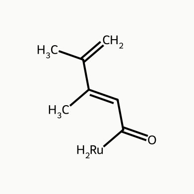 C=C(C)C(C)=C[C](=O)[RuH2]